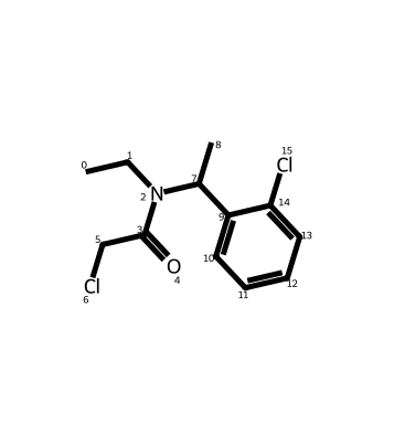 CCN(C(=O)CCl)C(C)c1ccccc1Cl